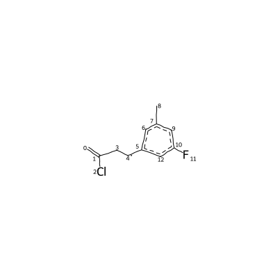 C=C(Cl)C[CH]c1cc(C)cc(F)c1